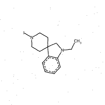 CCN1CC2(CCN(I)CC2)c2ccccc21